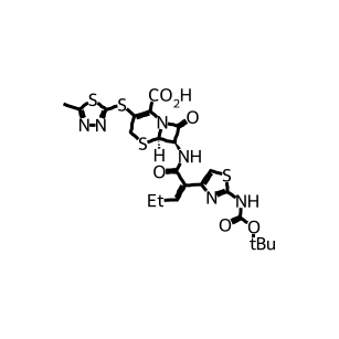 CC/C=C(\C(=O)N[C@@H]1C(=O)N2C(C(=O)O)=C(Sc3nnc(C)s3)CS[C@H]12)c1csc(NC(=O)OC(C)(C)C)n1